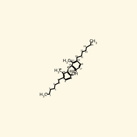 CCCCCCCc1ccc(O)c(Sc2c(O)ccc(CCCCCCC)c2C)c1C